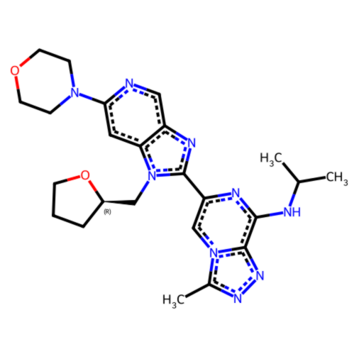 Cc1nnc2c(NC(C)C)nc(-c3nc4cnc(N5CCOCC5)cc4n3C[C@H]3CCCO3)cn12